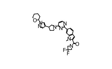 Cn1c(C(=O)N2CC(F)(F)C2)cc2ccc(-c3nccc(N4CCC(c5cnn(C6CCCCO6)c5)C4)n3)cc21